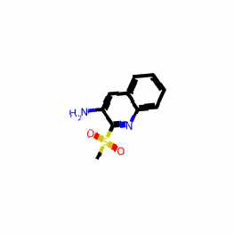 CS(=O)(=O)c1nc2ccccc2cc1N